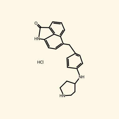 Cl.O=C1Nc2ccc(Cc3ccc(NC4CCNCC4)cc3)c3cccc1c23